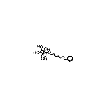 OCC12OC(OCCCCCOCc3ccccc3)C1(O)C(O)C2O